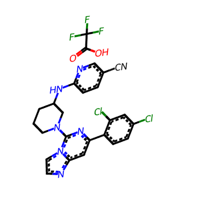 N#Cc1ccc(NC2CCCN(c3nc(-c4ccc(Cl)cc4Cl)cc4nccn34)C2)nc1.O=C(O)C(F)(F)F